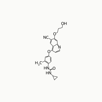 Cc1cc(Oc2ccnc3cc(OCCCO)c(C#N)cc23)ccc1NC(=O)NC1CC1